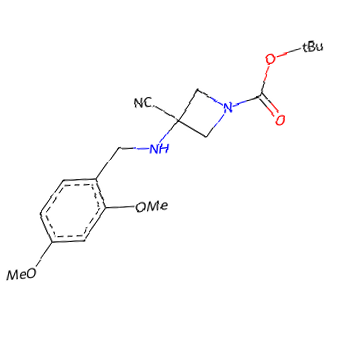 COc1ccc(CNC2(C#N)CN(C(=O)OC(C)(C)C)C2)c(OC)c1